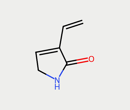 C=CC1=CCNC1=O